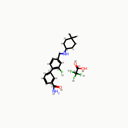 CC1(C)CCC(NCc2ccc(-c3cccc(C(N)=O)c3)c(F)c2)CC1.O=C(O)C(F)(F)F